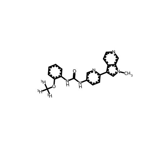 [3H]C([3H])([3H])Oc1ccccc1NC(=O)Nc1ccc(-c2cn(C)c3cnccc23)nc1